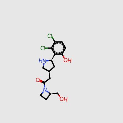 O=C(C[C@H]1CN[C@@H](c2c(O)ccc(Cl)c2Cl)C1)N1CC[C@@H]1CO